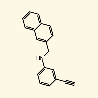 C#Cc1cccc(NCc2ccc3ccccc3c2)c1